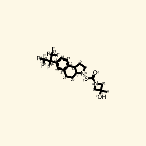 CC1(O)CN(C(=O)SN2CCC3c4ccc(C(F)(C(F)(F)F)C(F)(F)F)cc4CCC32)C1